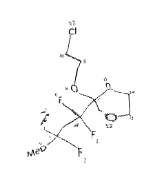 COC(F)(F)C(F)(F)C1(OCCCl)OCCO1